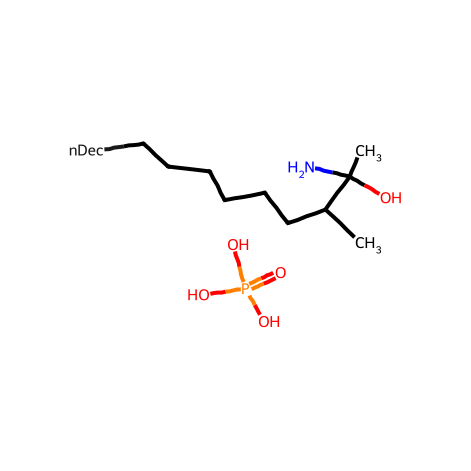 CCCCCCCCCCCCCCCCC(C)C(C)(N)O.O=P(O)(O)O